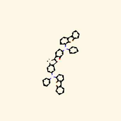 C[Si]1(C)c2ccc(N(c3ccccc3)c3cccc4c3sc3ccccc34)cc2-c2oc3cc(N(c4ccccc4)c4cccc5c4sc4ccccc45)ccc3c21